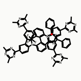 Cc1nc(C)nc(-c2ccc3c(c2)c2cc(-c4nc(C)nc(C)n4)ccc2n3-c2cccc(-c3nc(-c4ccccc4)nc(-c4ccccc4)n3)c2-c2c(-n3c4ccc(-c5nc(C)nc(C)n5)cc4c4cc(-c5nc(C)nc(C)n5)ccc43)cccc2C(F)(F)F)n1